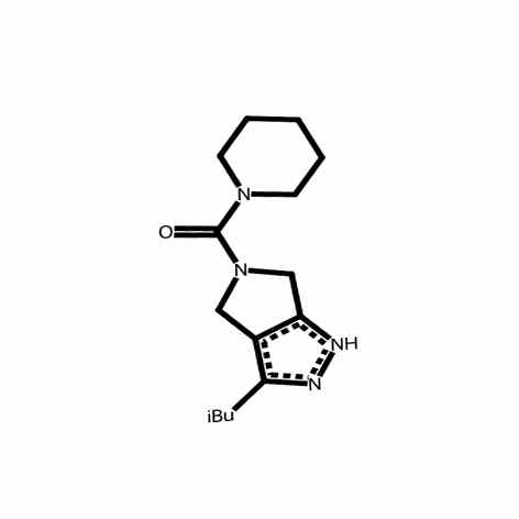 CCC(C)c1n[nH]c2c1CN(C(=O)N1CCCCC1)C2